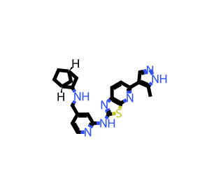 Cc1[nH]ncc1-c1ccc2nc(Nc3cc(CNC4C[C@@H]5CC[C@H]4C5)ccn3)sc2n1